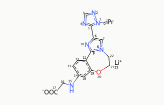 CC(C)n1ncnc1-c1cn2c(n1)-c1ccc(NCC(=O)[O-])cc1OCC2.[Li+]